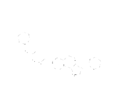 Cc1cccc(C)c1NC(=S)N(C)/N=C/c1ccc2c(ccc3c2ncn3-c2ccc(OC(F)(F)F)cc2)c1